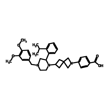 COc1ccc(CN2CCN(C3CC4(C3)CN(c3ccc(C(=O)O)cc3)C4)C(c3ccccc3C(C)C)C2)cc1OC